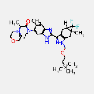 Cc1cc2nc(-c3nn(COCC[Si](C)(C)C)c4c3C[C@@H]3C(F)(F)[C@]3(C)C4)[nH]c2cc1N(C)C(=O)[C@H](C)N1CCOCC1